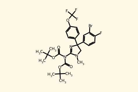 CN1CC(c2ccc(OC(F)(F)F)cc2)(c2ccc(F)c(Br)c2)N=C1N(C(=O)OC(C)(C)C)C(=O)OC(C)(C)C